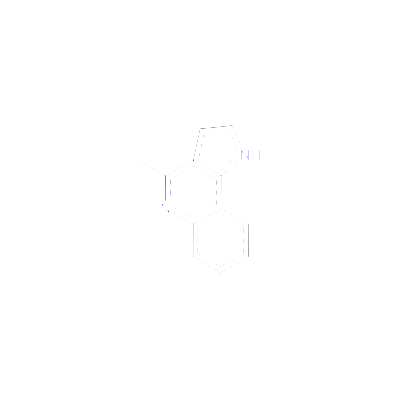 Cc1nc2ccccc2c2[nH]ccc12